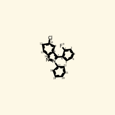 Fc1ccccc1-c1c2cc(Cl)ccc2nn1-c1ccccc1